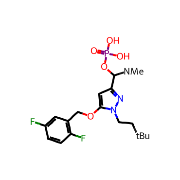 CNC(OP(=O)(O)O)c1cc(OCc2cc(F)ccc2F)n(CCC(C)(C)C)n1